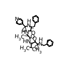 CC(C)[C@H](NC(=O)[C@H](C)NC(=O)[C@H](Cc1ccccc1)NC(=O)c1ccncc1)C(=O)C(=O)NCc1ccccc1